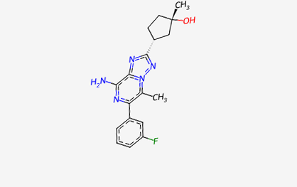 Cc1c(-c2cccc(F)c2)nc(N)c2nc([C@@H]3CC[C@](C)(O)C3)nn12